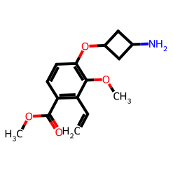 C=Cc1c(C(=O)OC)ccc(OC2CC(N)C2)c1OC